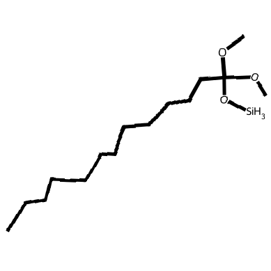 CCCCCCCCCCCCC(OC)(OC)O[SiH3]